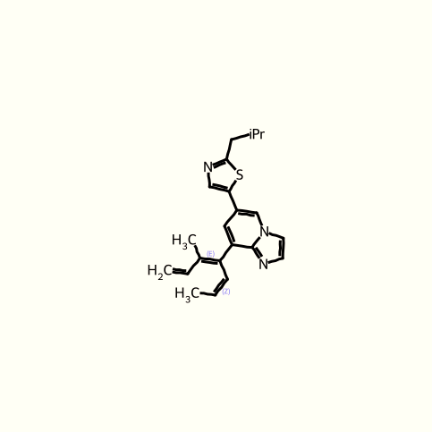 C=C/C(C)=C(\C=C/C)c1cc(-c2cnc(CC(C)C)s2)cn2ccnc12